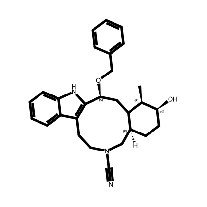 C[C@@H]1C2C[C@H](OCc3ccccc3)c3[nH]c4ccccc4c3CCN(C#N)C[C@@H]2CC[C@@H]1O